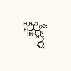 CCOc1nc(Sc2cccnc2)nc2[nH]c(CC)c(C(N)=O)c12